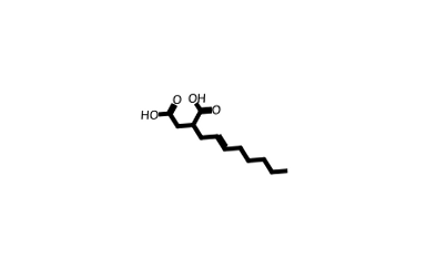 CCCCCC=CCC(CC(=O)O)C(=O)O